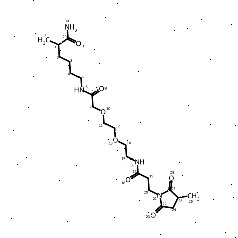 CC(CCCCNC(=O)COCCOCCNC(=O)CCN1C(=O)CC(C)C1=O)C(N)=O